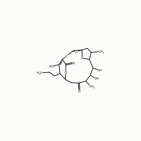 CCCC1C(O)=C2CCC3(C)CC(C)C(O3)C(O)C(O)C(C)C(=O)CC1OC2=O